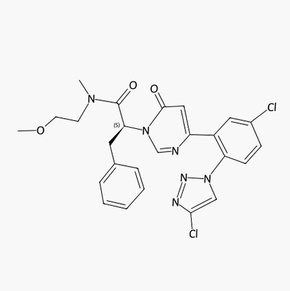 COCCN(C)C(=O)[C@H](Cc1ccccc1)n1cnc(-c2cc(Cl)ccc2-n2cc(Cl)nn2)cc1=O